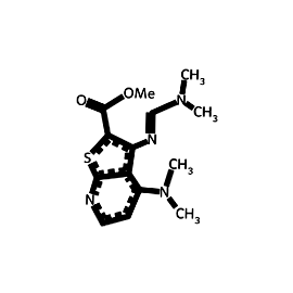 COC(=O)c1sc2nccc(N(C)C)c2c1N=CN(C)C